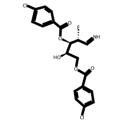 N=C[C@@H](F)[C@H](OC(=O)c1ccc(Cl)cc1)[C@H](O)COC(=O)c1ccc(Cl)cc1